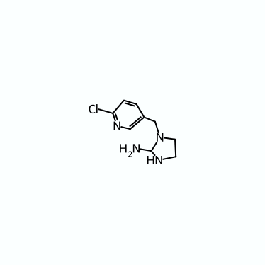 NC1NCCN1Cc1ccc(Cl)nc1